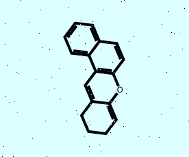 C1=C2CCCC=C2Oc2ccc3ccccc3c21